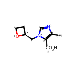 CCc1ncn(C[C@@H]2CCO2)c1C(=O)O